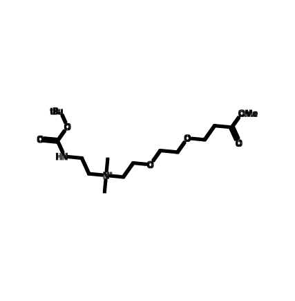 COC(=O)CCOCCOCC[N+](C)(C)CCNC(=O)OC(C)(C)C